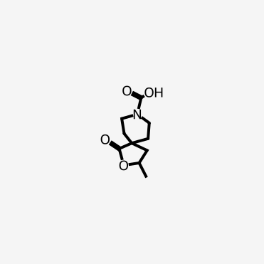 CC1CC2(CCN(C(=O)O)CC2)C(=O)O1